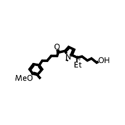 CC[C@H](CCCCO)c1ccc(C(=O)CCCCc2ccc(OC)c(C)c2)n1C